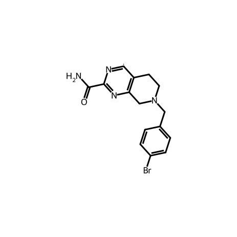 NC(=O)c1n[c]c2c(n1)CN(Cc1ccc(Br)cc1)CC2